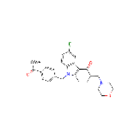 COC(=O)c1ccc(Cn2c3c(c4cc(F)ccc42)C(=O)C(CN2CCOCC2)CC3)cc1